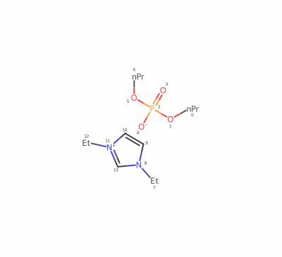 CCCOP(=O)([O-])OCCC.CCn1cc[n+](CC)c1